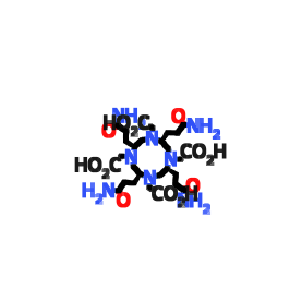 NC(=O)CC[C@H]1CN(CC(=O)O)[C@@H](CCC(N)=O)CN(CC(=O)O)[C@@H](CCC(N)=O)CN(CC(=O)O)[C@@H](CCC(N)=O)CN1CC(=O)O